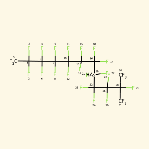 FC(F)(F)C(F)(F)C(F)(F)C(F)(F)C(F)(F)C(F)(F)C(F)(F)[AsH](F)(F)C(F)(F)C(F)(F)C(F)(C(F)(F)F)C(F)(F)F